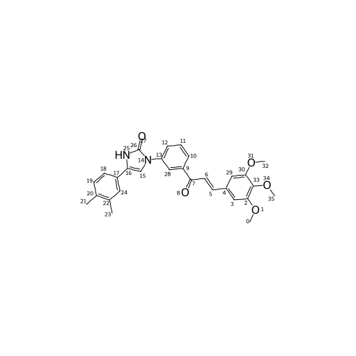 COc1cc(/C=C/C(=O)c2cccc(-n3cc(-c4ccc(C)c(C)c4)[nH]c3=O)c2)cc(OC)c1OC